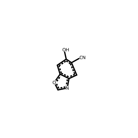 N#Cc1cc2ncoc2cc1O